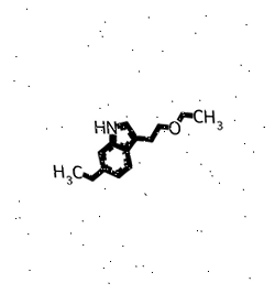 CCOCCc1c[nH]c2cc(CC)ccc12